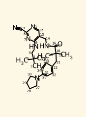 CC(C)(C)CNc1nc(C#N)ncc1CNC(=O)C(C)(C)Cc1ccc(N2CCCC2)cc1